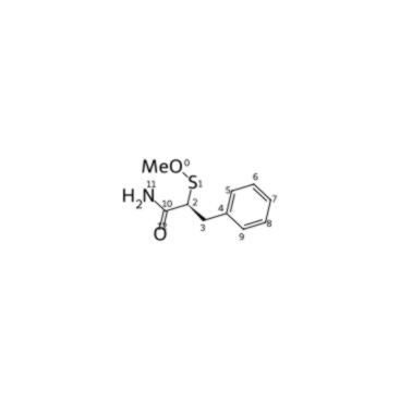 COS[C@@H](Cc1ccccc1)C(N)=O